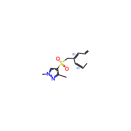 C=C/C=C(\C=C/C)CS(=O)(=O)c1cn(C)nc1C